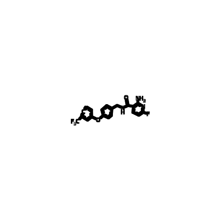 Nc1nc(F)ccc1C(=O)NCc1ccc(Oc2cccc(C(F)(F)F)c2)cc1